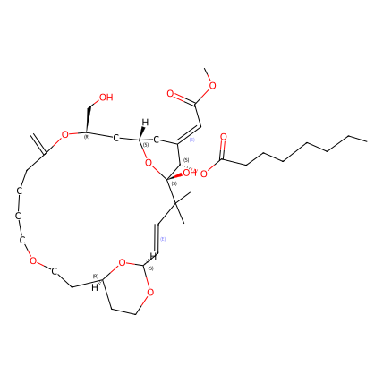 C=C1CCCCOCC[C@@H]2CCO[C@H](/C=C/C(C)(C)[C@]3(O)O[C@@H](C/C(=C\C(=O)OC)[C@@H]3OC(=O)CCCCCCC)C[C@H](CO)O1)O2